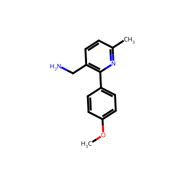 COc1ccc(-c2nc(C)ccc2CN)cc1